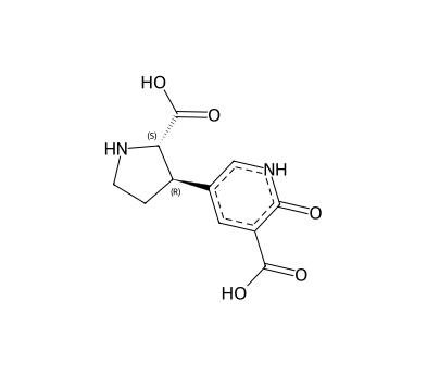 O=C(O)c1cc([C@H]2CCN[C@@H]2C(=O)O)c[nH]c1=O